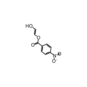 O=C(OC=CO)c1ccc([N+](=O)[O-])cc1